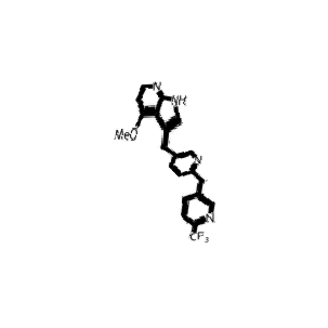 COc1ccnc2[nH]cc(Cc3ccc([CH]c4ccc(C(F)(F)F)nc4)nc3)c12